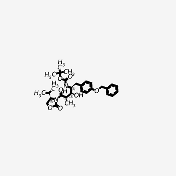 CC(C)[C@H]1COC(=O)N1C(=O)[C@@H](C)[C@H](O)[C@H](Cc1ccc(OCc2ccccc2)cc1)NC(=O)OC(C)(C)C